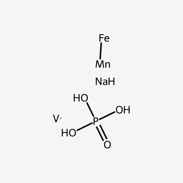 O=P(O)(O)O.[Mn][Fe].[NaH].[V]